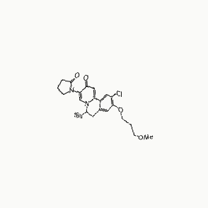 COCCCOc1cc2c(cc1Cl)-c1cc(=O)c(N3CCCC3=O)cn1C(C(C)(C)C)C2